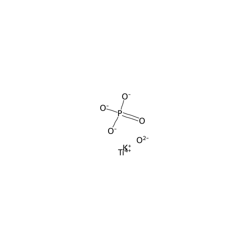 O=P([O-])([O-])[O-].[K+].[O-2].[Ti+4]